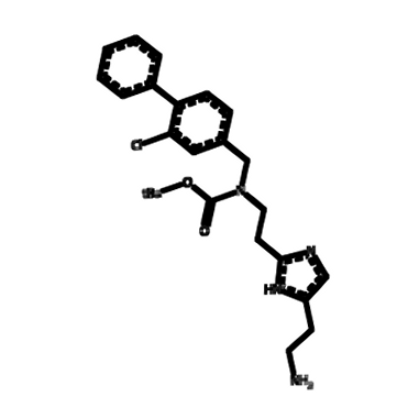 CC(C)(C)OC(=O)N(CCc1ncc(CCN)[nH]1)Cc1ccc(-c2ccccc2)c(Cl)c1